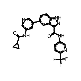 O=C(Nc1ccc(C(F)(F)F)nc1)c1n[nH]c2ccc(-c3cncc(NC(=O)C4CC4)c3)cc12